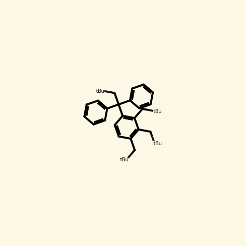 CC(C)(C)Cc1ccc(C(CC(C)(C)C)(c2ccccc2)c2ccccc2)c(CC(C)(C)C)c1CC(C)(C)C